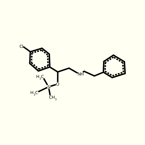 C[Si](C)(C)OC(CNCCc1ccccc1)c1ccc(Cl)cc1